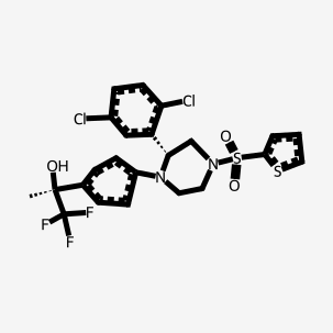 C[C@](O)(c1ccc(N2CCN(S(=O)(=O)c3cccs3)C[C@H]2c2cc(Cl)ccc2Cl)cc1)C(F)(F)F